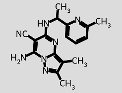 Cc1cccc(C(C)Nc2nc3c(C)c(C)nn3c(N)c2C#N)n1